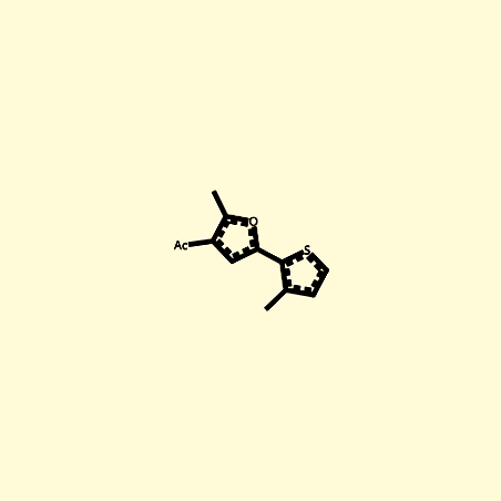 CC(=O)c1cc(-c2sccc2C)oc1C